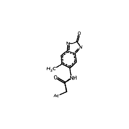 CC(=O)CC(=O)Nc1cc2c(cc1C)=NC(=O)N=2